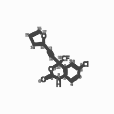 O=C1Nc2ccc(Cl)cc2C(C#Cc2ccco2)(C(F)(F)F)O1